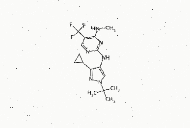 CNc1nc(Nc2cn(C(C)(C)C)nc2C2CC2)ncc1C(F)(F)F